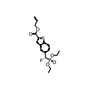 C=CCOC(=O)c1cc2cc([C@@H](F)P(=O)(OCC)OCC)ccc2s1